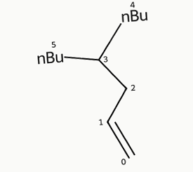 C=CCC(CCCC)CCCC